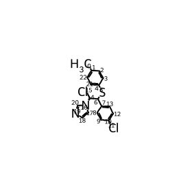 Cc1ccc(SC(c2ccc(Cl)cc2)C(Cl)n2ccnc2)cc1